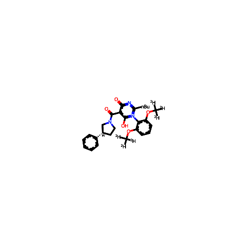 [2H]C([2H])([2H])Oc1cccc(OC([2H])([2H])[2H])c1-n1c(CCCC)nc(=O)c(C(=O)N2CC[C@H](c3ccccc3)C2)c1O